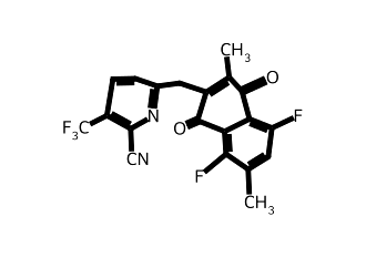 CC1=C(Cc2ccc(C(F)(F)F)c(C#N)n2)C(=O)c2c(F)c(C)cc(F)c2C1=O